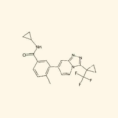 Cc1ccc(C(=O)NC2CC2)cc1-c1ccn2c(C3(C(F)(F)F)CC3)nnc2c1